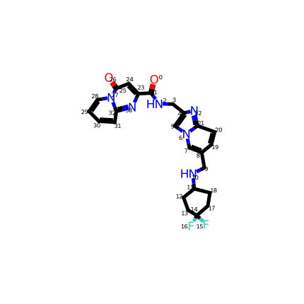 O=C(NCc1cn2cc(CNC3CCC(F)(F)CC3)ccc2n1)c1cc(=O)n2ccccc2n1